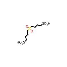 O=S(=O)(O)CCCCS(=O)(=O)CCCCS(=O)(=O)O